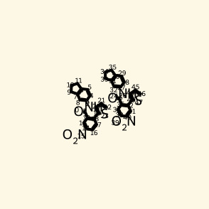 O=C(Nc1ccc2c(c1)CCC2)c1cc([N+](=O)[O-])ccc1-c1cccs1.O=C(Nc1ccc2c(c1)CCC2)c1cc([N+](=O)[O-])ccc1-c1cccs1